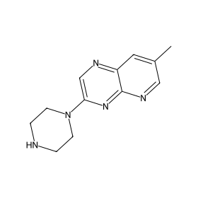 Cc1cnc2nc(N3CCNCC3)cnc2c1